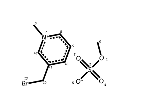 COS(=O)(=O)[O-].C[n+]1cccc(CBr)c1